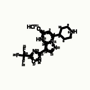 Cl.O=c1cc(C2CCNCC2)n2ncc(-c3noc(C(F)(F)F)n3)c2[nH]1